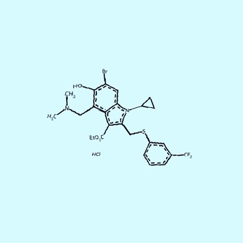 CCOC(=O)c1c(CSc2cccc(C(F)(F)F)c2)n(C2CC2)c2cc(Br)c(O)c(CN(C)C)c12.Cl